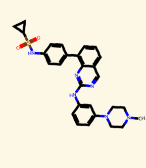 CN1CCN(c2cccc(Nc3ncc4cccc(-c5ccc(NS(=O)(=O)C6CC6)cc5)c4n3)c2)CC1